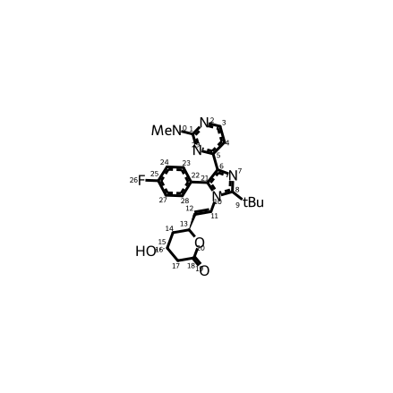 CNc1nccc(-c2nc(C(C)(C)C)n(/C=C/[C@@H]3C[C@@H](O)CC(=O)O3)c2-c2ccc(F)cc2)n1